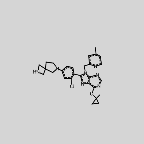 Cc1ccnc(Cn2c(-c3ccc(N4CCC5(CNC5)C4)cc3Cl)nc3c(OC4(C)CC4)ncnc32)c1